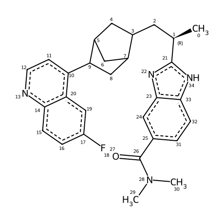 C[C@H](CC1CC2CC1CC2c1ccnc2ccc(F)cc12)c1nc2cc(C(=O)N(C)C)ccc2[nH]1